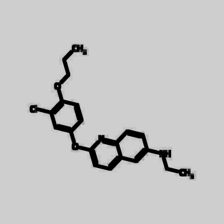 CCCOc1ccc(Oc2ccc3cc(NCC)ccc3n2)cc1Cl